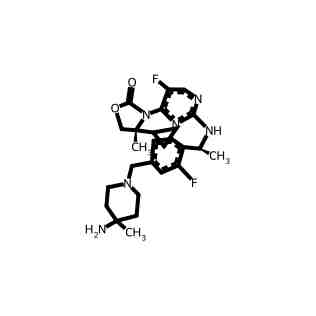 C[C@H](Nc1ncc(F)c(N2C(=O)OC[C@@]2(C)C2CC2)n1)c1ccc(CN2CCC(C)(N)CC2)cc1F